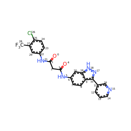 O=C(CC(=O)Nc1ccc2c(-c3cccnc3)n[nH]c2c1)Nc1ccc(Cl)c(C(F)(F)F)c1